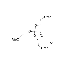 C=C[Si](OCCOC)(OCCOC)OCCOC.[Si]